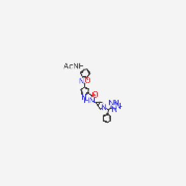 CC(=O)Nc1ccc2oc(-c3ccnc(C(=O)NC4C5CN(C(c6ccccc6)c6nnn(C)n6)CC54)c3)nc2c1